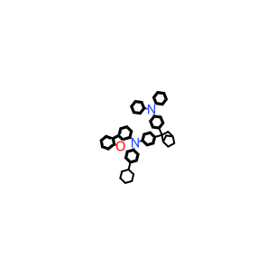 c1ccc(N(c2ccccc2)c2ccc(C3(c4ccc(N(c5ccc(C6CCCCC6)cc5)c5cccc6c5oc5ccccc56)cc4)CC4CCC3C4)cc2)cc1